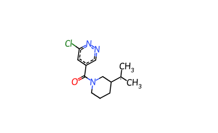 C[C](C)C1CCCN(C(=O)c2cnnc(Cl)c2)C1